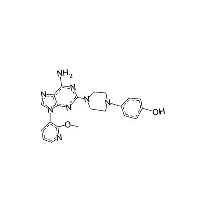 COc1ncccc1-n1cnc2c(N)nc(N3CCN(c4ccc(O)cc4)CC3)nc21